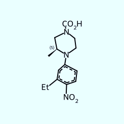 CCc1cc(N2CCN(C(=O)O)C[C@@H]2C)ccc1[N+](=O)[O-]